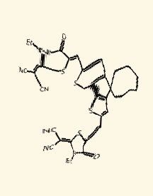 CCn1c(=C(C#N)C#N)s/c(=C\c2cc3c(s2)-c2sc(/C=c4\sc(=C(C#N)C#N)n(CC)c4=O)cc2C32CCCCC2)c1=O